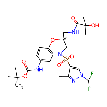 Cc1nn(C(F)F)cc1S(=O)(=O)N1C[C@H](CNC(=O)C(C)(C)O)Oc2ccc(NC(=O)OC(C)(C)C(F)(F)F)cc21